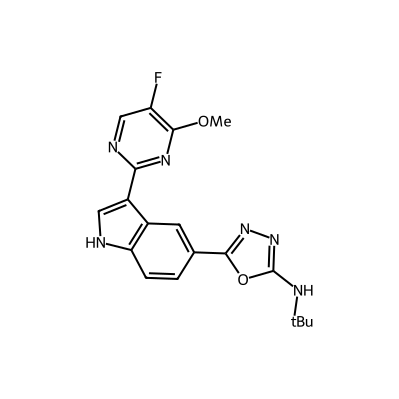 COc1nc(-c2c[nH]c3ccc(-c4nnc(NC(C)(C)C)o4)cc23)ncc1F